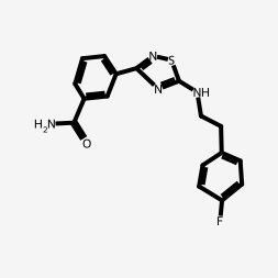 NC(=O)c1cccc(-c2nsc(NCCc3ccc(F)cc3)n2)c1